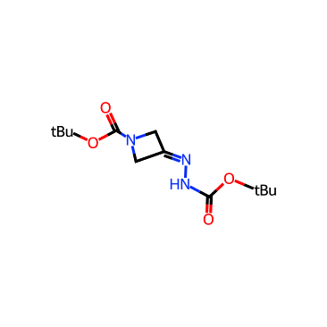 CC(C)(C)OC(=O)NN=C1CN(C(=O)OC(C)(C)C)C1